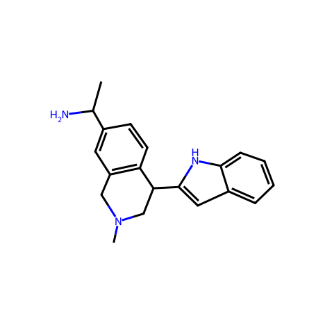 CC(N)c1ccc2c(c1)CN(C)CC2c1cc2ccccc2[nH]1